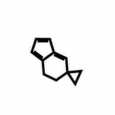 [C]1=CC=C2CCC3(C=C12)CC3